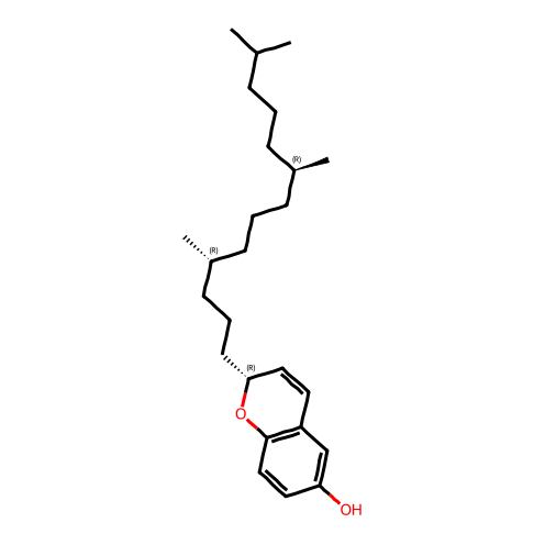 CC(C)CCC[C@@H](C)CCC[C@@H](C)CCC[C@@H]1C=Cc2cc(O)ccc2O1